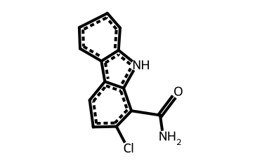 NC(=O)c1c(Cl)ccc2c1[nH]c1ccccc12